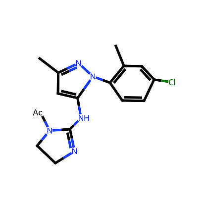 CC(=O)N1CCN=C1Nc1cc(C)nn1-c1ccc(Cl)cc1C